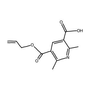 C=CCOC(=O)c1cc(C(=O)O)c(C)nc1C